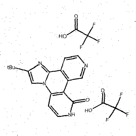 CC(C)(C)c1cn2c3cc[nH]c(=O)c3c3cnccc3c2n1.O=C(O)C(F)(F)F.O=C(O)C(F)(F)F